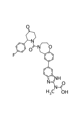 CN(C(=O)O)c1nc2ccc(-c3ccc4c(c3)CN(C(=O)N3CCC(=O)CC3c3ccc(F)cc3)CCO4)cc2[nH]1